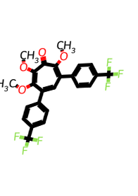 COc1c(-c2ccc(C(F)(F)F)cc2)cc(-c2ccc(C(F)(F)F)cc2)c(OC)c(=O)c1OC